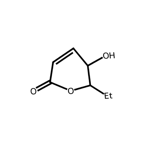 CCC1OC(=O)C=CC1O